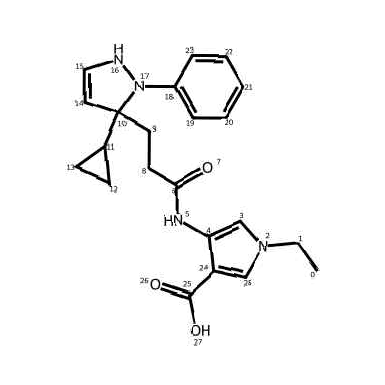 CCn1cc(NC(=O)CCC2(C3CC3)C=CNN2c2ccccc2)c(C(=O)O)c1